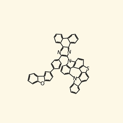 c1ccc2c(c1)oc1ccc(-c3ccc(-c4nc5c6ccccc6c6ccccc6c5nc4-n4c5ccc6sc7ccc8c9ccccc9n9c%10cccc4c%10c5c6c7c89)cc3)cc12